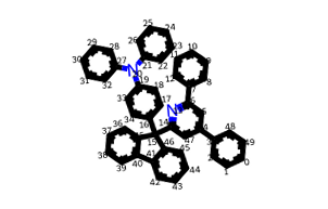 c1ccc(-c2cc(-c3ccccc3)nc(C3(c4ccc(N(c5ccccc5)c5ccccc5)cc4)c4ccccc4-c4ccccc43)c2)cc1